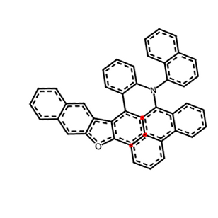 c1ccc(N(c2cccc3ccccc23)c2cc3ccccc3c3ccccc23)c(-c2cccc3oc4cc5ccccc5cc4c23)c1